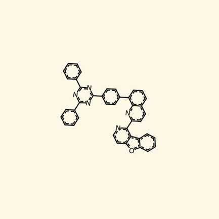 c1ccc(-c2nc(-c3ccccc3)nc(-c3ccc(-c4cccc5ccc(-c6nccc7oc8ccccc8c67)nc45)cc3)n2)cc1